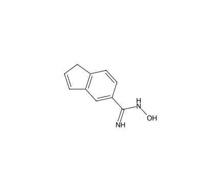 N=C(NO)c1ccc2c(c1)C=CC2